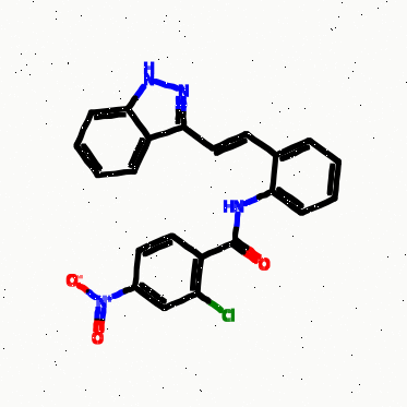 O=C(Nc1ccccc1/C=C/c1n[nH]c2ccccc12)c1ccc([N+](=O)[O-])cc1Cl